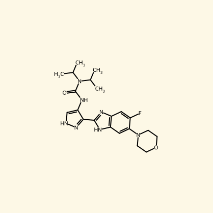 CC(C)N(C(=O)Nc1c[nH]nc1-c1nc2cc(F)c(N3CCOCC3)cc2[nH]1)C(C)C